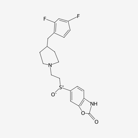 O=c1[nH]c2ccc([S+]([O-])CCN3CCC(Cc4ccc(F)cc4F)CC3)cc2o1